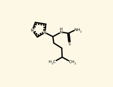 CC(C)CCC(NC(N)=S)n1ccnc1